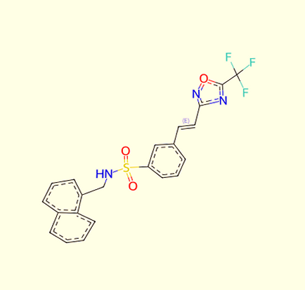 O=S(=O)(NCc1cccc2ccccc12)c1cccc(/C=C/c2noc(C(F)(F)F)n2)c1